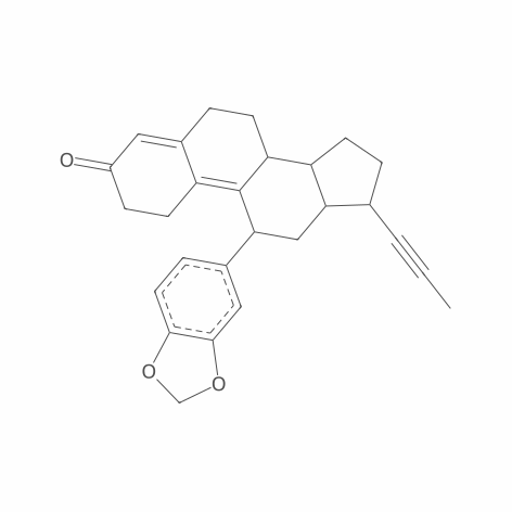 CC#CC1CCC2C3CCC4=CC(=O)CCC4=C3C(c3ccc4c(c3)OCO4)CC12